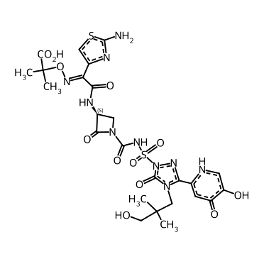 CC(C)(CO)Cn1c(-c2cc(=O)c(O)c[nH]2)nn(S(=O)(=O)NC(=O)N2C[C@H](NC(=O)C(=NOC(C)(C)C(=O)O)c3csc(N)n3)C2=O)c1=O